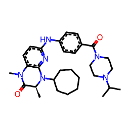 CC(C)N1CCN(C(=O)c2ccc(Nc3ccc4c(n3)N(C3CCCCCC3)[C@@H](C)C(=O)N4C)cc2)CC1